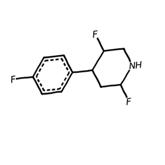 Fc1ccc(C2CC(F)NCC2F)cc1